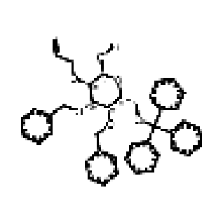 C=CCO[C@H]1[C@@H](OCC)O[C@H](COC(c2ccccc2)(c2ccccc2)c2ccccc2)[C@@H](OCc2ccccc2)[C@@H]1OCc1ccccc1